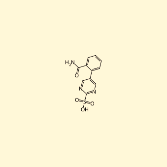 NC(=O)c1ccccc1-c1cnc(S(=O)(=O)O)nc1